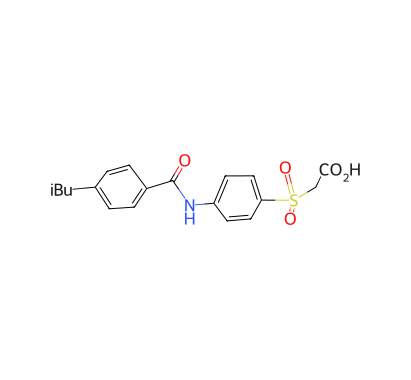 CCC(C)c1ccc(C(=O)Nc2ccc(S(=O)(=O)CC(=O)O)cc2)cc1